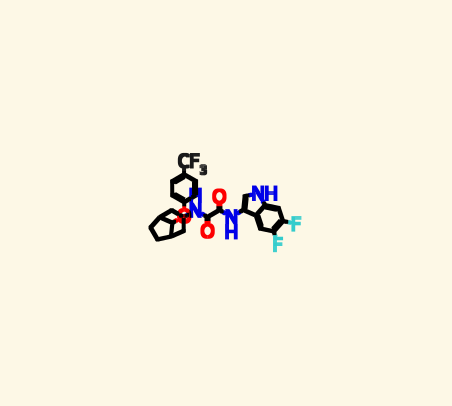 O=C(Nc1c[nH]c2cc(F)c(F)cc12)C(=O)NC1CC2CCC(C1)C2Oc1ccc(C(F)(F)F)cc1